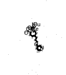 COC(=O)[C@@H]1CC=C(CCCOc2cccnc2)CCN1C(=O)OC(C)(C)C